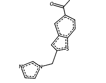 COC(=O)c1ccc2sc(Cn3ccnc3)cc2c1